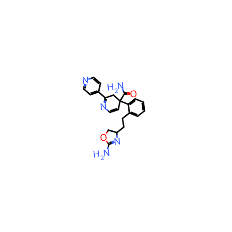 NC(=O)C1(c2ccccc2CCC2COC(N)=N2)C=CN=C(c2ccncc2)C1